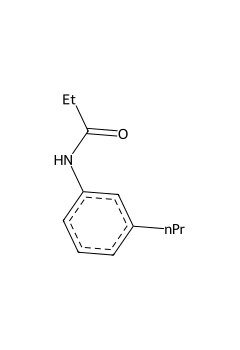 CCCc1cccc(NC(=O)CC)c1